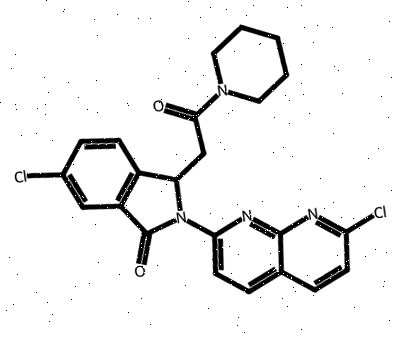 O=C(CC1c2ccc(Cl)cc2C(=O)N1c1ccc2ccc(Cl)nc2n1)N1CCCCC1